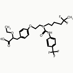 CCOC(Cc1ccc(OCCN(CCCCC(C)(F)F)C(=O)Nc2ccc(C(F)(F)F)cc2)cc1)C(=O)O